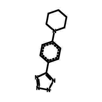 c1cc(N2CCCCC2)ccc1C1=N[N]N=N1